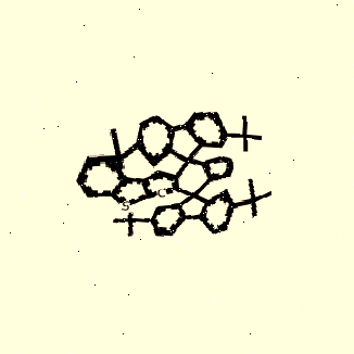 CC(C)(C)c1ccc2c(c1)C1(c3cc(C(C)(C)C)ccc3-2)c2ccccc2C2(c3cc(C(C)(C)C)ccc3-c3ccc(C(C)(C)C)cc32)c2cc3c(cc21)sc1ccccc13